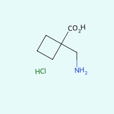 Cl.NCC1(C(=O)O)CCC1